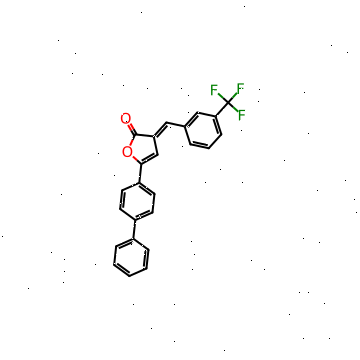 O=C1OC(c2ccc(-c3ccccc3)cc2)=CC1=Cc1cccc(C(F)(F)F)c1